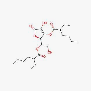 CCCCC(CC)C(=O)OC1=C(O)C(=O)O[C@@H]1[C@H](CO)OC(=O)C(CC)CCCC